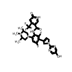 CC1CN(c2cc(F)c(C3=CCN(c4ncc(O)cn4)C3)c(F)c2NC(=O)c2c[nH]c(=O)cc2C(F)(F)F)CC(C)N1C